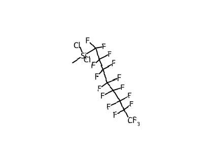 C[Si](Cl)(Cl)C(F)(F)C(F)(F)C(F)(F)C(F)(F)C(F)(F)C(F)(F)C(F)(F)C(F)(F)F